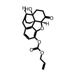 C=CCOC(=O)Oc1ccc2c3c1O[C@H]1C(=O)CC[C@@]4(O)[C@H](CCC[C@]314)C2